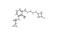 CC1OC(CCCCOc2cccc(CNC3CC3)c2Br)O1